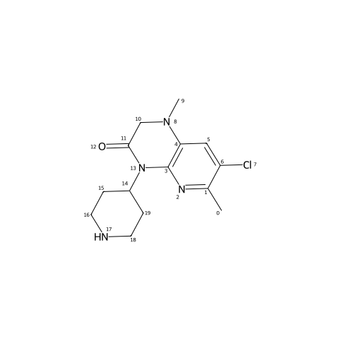 Cc1nc2c(cc1Cl)N(C)CC(=O)N2C1CCNCC1